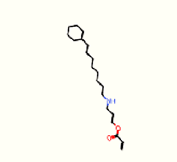 C=CC(=O)OCCCNCCCCCCCCC1CCCCC1